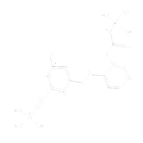 CC(C)(C)OC(=O)Cc1ccccc1OCc1cc(Cl)cc(C#C[Si](C)(C)C)c1